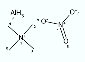 C[N+](C)(C)C.O=[N+]([O-])[O-].[AlH3]